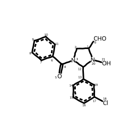 O=CC1CN(C(=O)c2ccccc2)C(c2cccc(Cl)c2)N1O